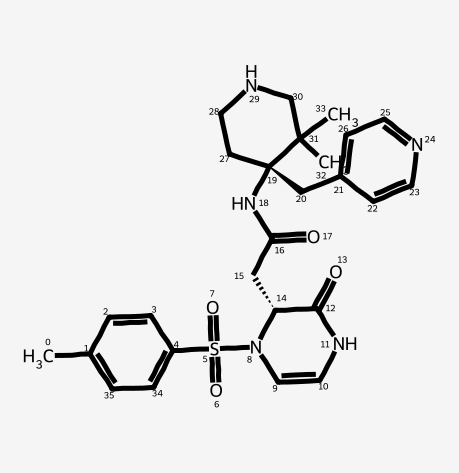 Cc1ccc(S(=O)(=O)N2C=CNC(=O)[C@H]2CC(=O)N[C@]2(Cc3ccncc3)CCNCC2(C)C)cc1